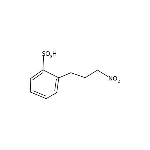 O=[N+]([O-])CCCc1ccccc1S(=O)(=O)O